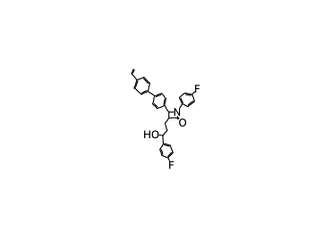 C=Cc1ccc(-c2ccc(C3C(CC[C@H](O)c4ccc(F)cc4)C(=O)N3c3ccc(F)cc3)cc2)cc1